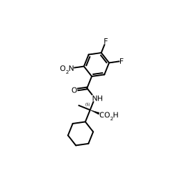 C[C@@](NC(=O)c1cc(F)c(F)cc1[N+](=O)[O-])(C(=O)O)C1CCCCC1